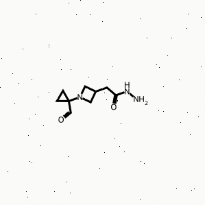 NNC(=O)CC1CN(C2(C=O)CC2)C1